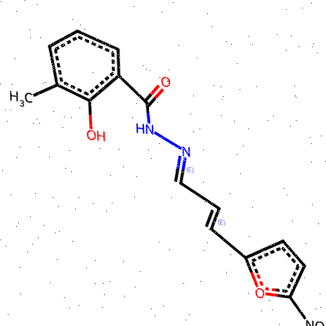 Cc1cccc(C(=O)N/N=C/C=C/c2ccc([N+](=O)[O-])o2)c1O